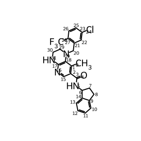 Cc1c(C(=O)NC2CCc3ccccc32)cnc2c1N(Cc1cc(Cl)ccc1C(F)(F)F)CCN2